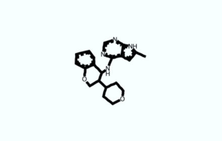 Cc1cc2c(NC3c4ccccc4OCC3C3CCOCC3)ncnc2[nH]1